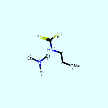 CCN(CC)CC.COCCNC(=S)S